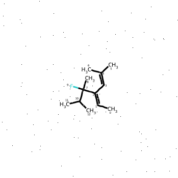 C/C=C(\C=C(C)C)C(C)(F)C(C)C